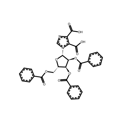 O=C(OC[C@@H]1O[C@H](n2cnc(C(=O)O)c2C(=O)O)[C@@H](OC(=O)c2ccccc2)[C@H]1OC(=O)c1ccccc1)c1ccccc1